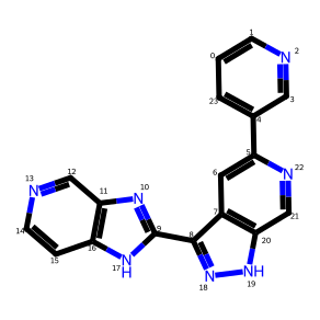 c1cncc(-c2cc3c(-c4nc5cnccc5[nH]4)n[nH]c3cn2)c1